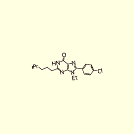 CCn1c(-c2ccc(Cl)cc2)nc2c(=O)[nH]c(CCCC(C)C)nc21